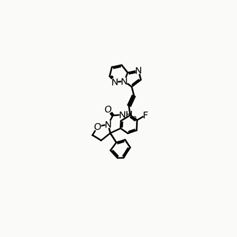 NC(=O)N1OCCC1(c1ccccc1)c1ccc(F)c(C#Cc2cnc3cccnn23)c1